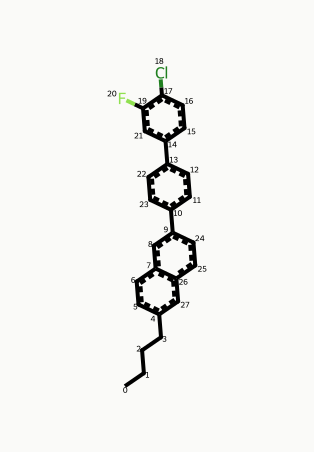 CCCCc1ccc2cc(-c3ccc(-c4ccc(Cl)c(F)c4)cc3)ccc2c1